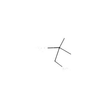 [CH2]C(C)(CCCCC)C(=O)O